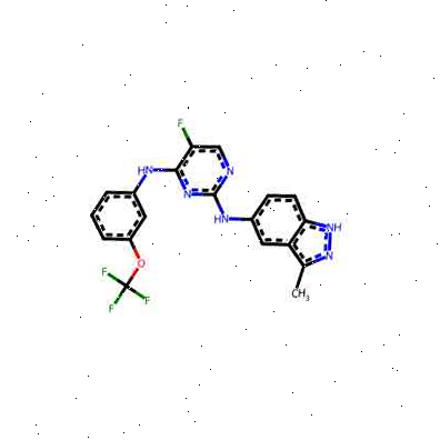 Cc1n[nH]c2ccc(Nc3ncc(F)c(Nc4cccc(OC(F)(F)F)c4)n3)cc12